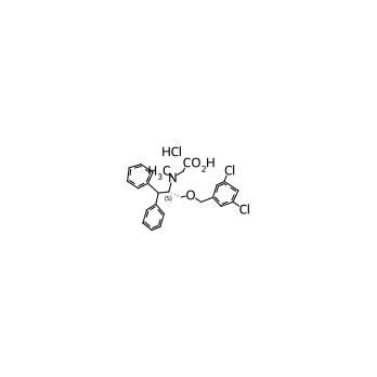 CN(CC(=O)O)[C@H](COCc1cc(Cl)cc(Cl)c1)C(c1ccccc1)c1ccccc1.Cl